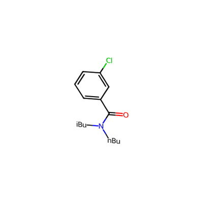 CCCCN(C(=O)c1cccc(Cl)c1)C(C)CC